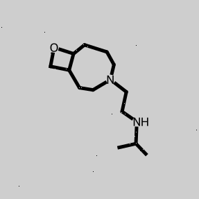 CC(C)NCCN1CCCC2OCC2CC1